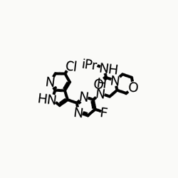 CC(C)NC(=O)N1CCOCC1CNc1nc(-c2c[nH]c3c2=CC(Cl)CN=3)ncc1F